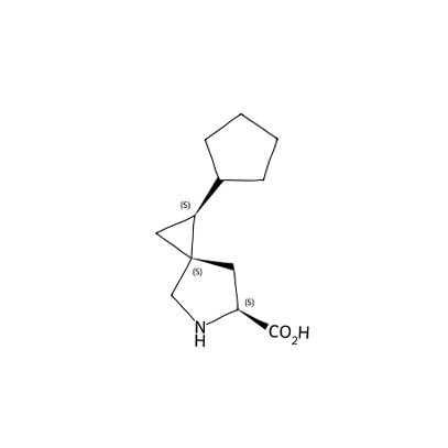 O=C(O)[C@@H]1C[C@@]2(CN1)C[C@H]2C1CCCC1